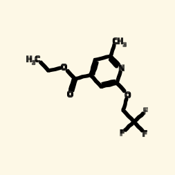 CCOC(=O)c1cc(C)nc(OCC(F)(F)F)c1